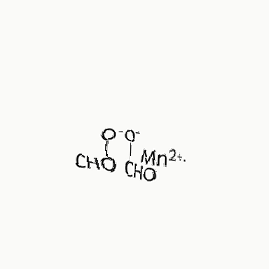 O=C[O-].O=C[O-].[Mn+2]